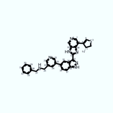 C[C@H]1CSC=C1c1cncc2[nH]c(-c3n[nH]c4ccc(-c5cncc(CNCc6ccccc6)c5)cc34)nc12